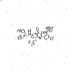 CC(C)(C)C(=O)Nc1cc(Cl)ccc1-c1cc(=O)n(CC(=O)NCC2(CO)COC2)c(CCC(F)(F)F)n1